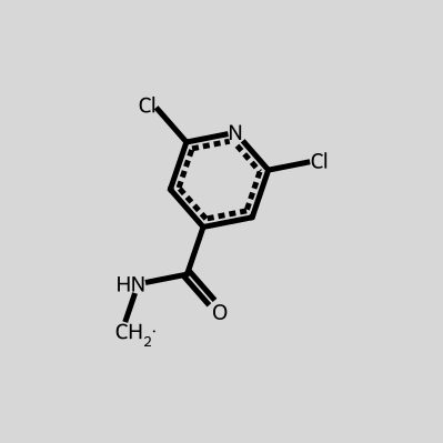 [CH2]NC(=O)c1cc(Cl)nc(Cl)c1